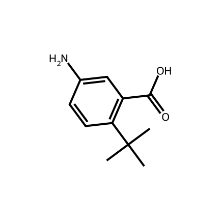 CC(C)(C)c1ccc(N)cc1C(=O)O